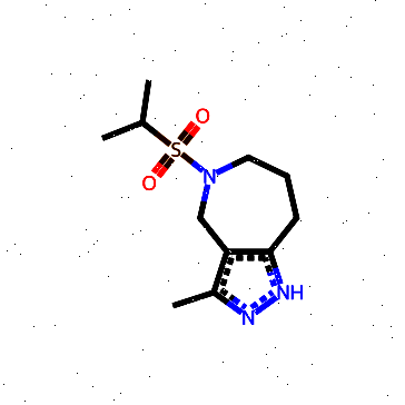 Cc1n[nH]c2c1CN(S(=O)(=O)C(C)C)CCC2